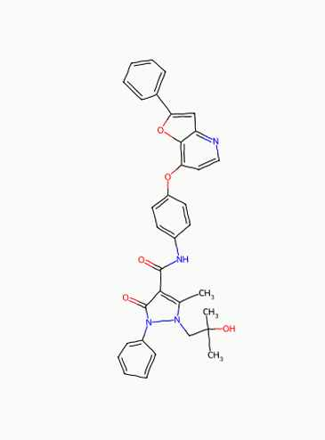 Cc1c(C(=O)Nc2ccc(Oc3ccnc4cc(-c5ccccc5)oc34)cc2)c(=O)n(-c2ccccc2)n1CC(C)(C)O